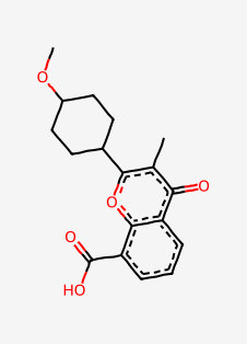 COC1CCC(c2oc3c(C(=O)O)cccc3c(=O)c2C)CC1